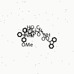 COc1ccc(C(Nc2ncnc3c2ncn3CC(=O)N(CCNC(=O)OCC2c3ccccc3-c3ccccc32)CC(=O)O)(c2ccccc2)c2ccccc2)cc1